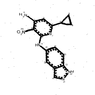 Nc1cc(C2CC2)nc(Nc2ccc3[nH]ncc3c2)c1[N+](=O)[O-]